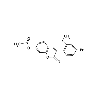 CCc1cc(Br)ccc1-c1cc2ccc(OC(C)=O)cc2oc1=O